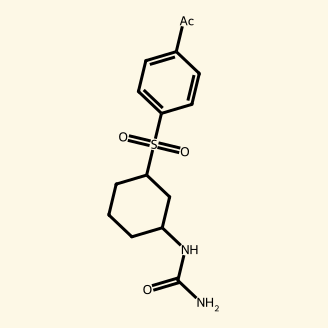 CC(=O)c1ccc(S(=O)(=O)C2CCCC(NC(N)=O)C2)cc1